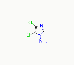 Nn1cnc(Cl)c1Cl